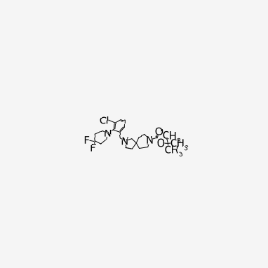 CC(C)(C)OC(=O)N1CCC2(CCN(Cc3cccc(Cl)c3N3CCC(F)(F)CC3)C2)CC1